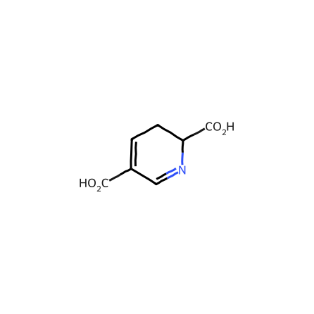 O=C(O)C1=CCC(C(=O)O)N=C1